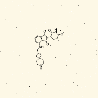 O=C1CCC(N2C(=O)c3cccc(NCC4CC5(CCNCC5)C4)c3C2=O)C(=O)N1